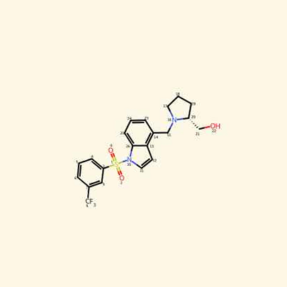 O=S(=O)(c1cccc(C(F)(F)F)c1)n1ccc2c(CN3CCC[C@@H]3CO)cccc21